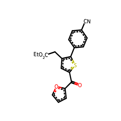 CCOC(=O)Cc1cc(C(=O)c2ccco2)sc1-c1ccc(C#N)cc1